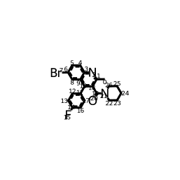 Cc1nc2ccc(Br)cc2c(-c2ccc(F)cc2)c1C(=O)N1CCCCC1